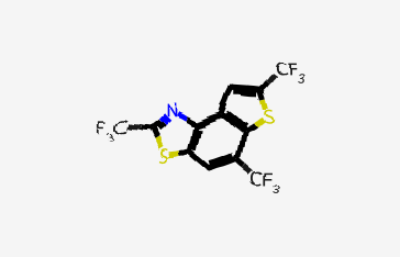 FC(F)(F)c1cc2c(s1)c(C(F)(F)F)cc1sc(C(F)(F)F)nc12